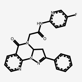 O=C(CN1C(=O)c2cccnc2N2N=C(c3ccccc3)CC12)Nc1ccc(F)cn1